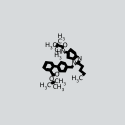 CCCCc1nc2ccc(NC(=O)C(C)(C)C)cc2n1Cc1ccc(-c2ccccc2C(=O)OC(C)(C)C)cc1